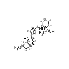 N=C(C1=C(NCc2nc(C(=O)Nc3cc(C(F)(F)F)ccc3Cl)cs2)CCCC1)C(F)(F)F